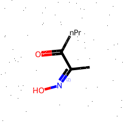 CCCC(=O)/C(C)=N\O